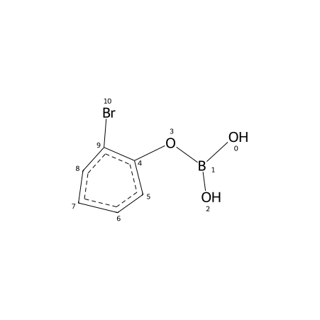 OB(O)Oc1ccccc1Br